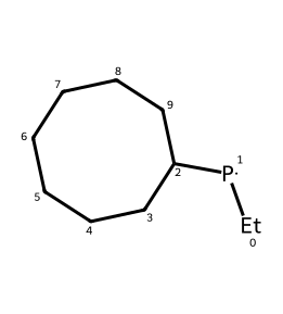 CC[P]C1CCCCCCC1